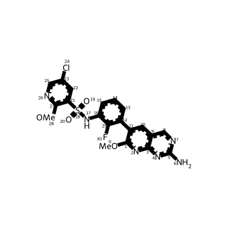 COc1nc2nc(N)ncc2cc1-c1cccc(NS(=O)(=O)c2cc(Cl)cnc2OC)c1F